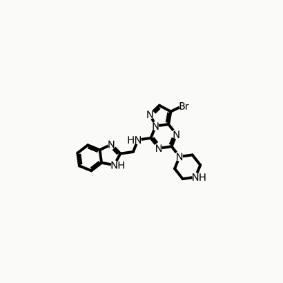 Brc1cnn2c(NCc3nc4ccccc4[nH]3)nc(N3CCNCC3)nc12